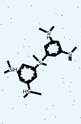 C[SiH](C)c1cc([SiH](C)C)cc([Si](C)(C)c2cc([SiH](C)C)cc([SiH](C)C)c2)c1